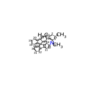 Cc1cc(C)cc(N(C)c2ccc3c(c2)C2(c4ccccc4-c4ccccc42)c2ccccc2-3)c1